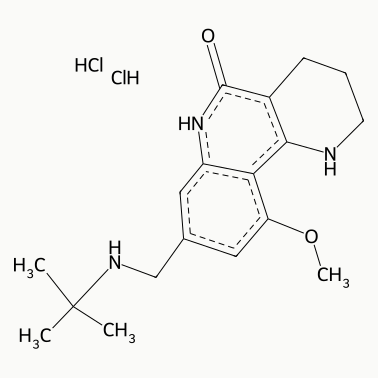 COc1cc(CNC(C)(C)C)cc2[nH]c(=O)c3c(c12)NCCC3.Cl.Cl